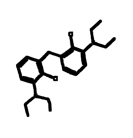 CCN(CC)c1cccc(Cc2cccc(N(CC)CC)c2Cl)c1Cl